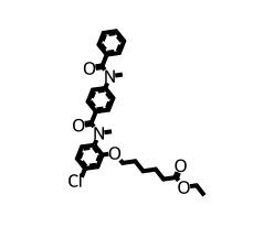 CCOC(=O)CCCCCOc1cc(Cl)ccc1N(C)C(=O)c1ccc(N(C)C(=O)c2ccccc2)cc1